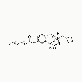 C/C=C/C=C/C(=O)Oc1ccc2c(c1)[C@]1(CCCC)CCN(CC3CCC3)[C@H](C2)[C@@]1(C)O